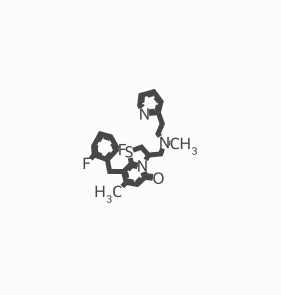 Cc1cc(=O)n2c(c1Cc1c(F)cccc1F)SCC2CN(C)CCc1ccccn1